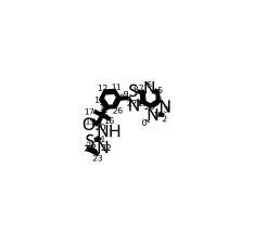 Cn1cnc2cnc3sc(-c4cccc(C(C)(C)C(=O)Nc5nccs5)c4)nc3c21